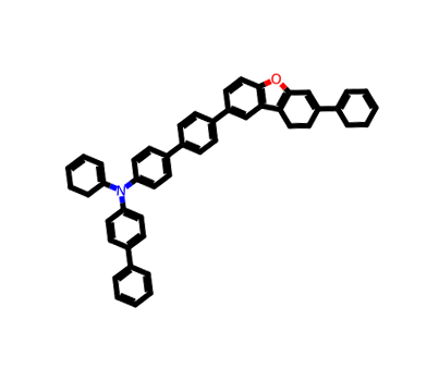 C1=CCCC(C2=Cc3oc4ccc(-c5ccc(-c6ccc(N(C7=CC=CCC7)c7ccc(-c8ccccc8)cc7)cc6)cc5)cc4c3CC2)=C1